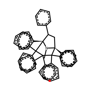 CN1[C@]2(c3ccccc3)CC(c3ccccc3)[C@@]1(c1ccccc1)C(c1ccccc1)(c1ccccc1)C(c1ccccc1)(c1ccccc1)C2(c1ccccc1)c1ccccc1